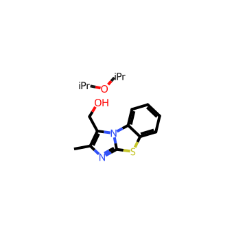 CC(C)OC(C)C.Cc1nc2sc3ccccc3n2c1CO